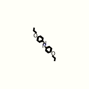 CCCOc1ccc(/N=N/c2ccc(OCCC)cc2)cc1